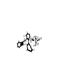 C[CH2][Ti]([CH2]C)([CH2]C)[CH2]C.c1ccc(-c2ccccc2-c2ccccc2)cc1